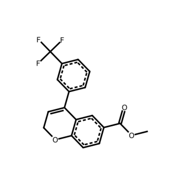 COC(=O)c1ccc2c(c1)C(c1cccc(C(F)(F)F)c1)=CCO2